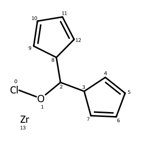 ClOC(C1C=CC=C1)C1C=CC=C1.[Zr]